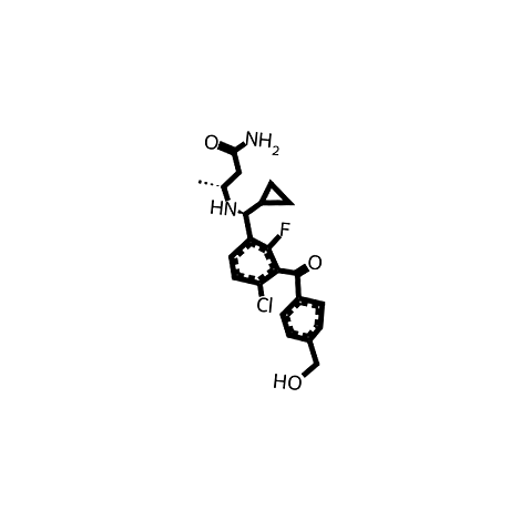 C[C@H](CC(N)=O)N[C@@H](c1ccc(Cl)c(C(=O)c2ccc(CO)cc2)c1F)C1CC1